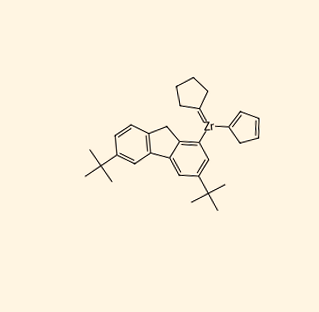 CC(C)(C)c1ccc2c(c1)-c1cc(C(C)(C)C)c[c]([Zr]([C]3=CC=CC3)=[C]3CCCC3)c1C2